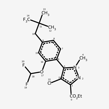 CCOC(=O)c1nn(C)c(-c2ccc(CC(C)(C)C(F)(F)F)cc2OC(F)F)c1Cl